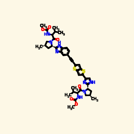 COC(=O)NC(C(=O)N1C[C@@H](C)C[C@H]1c1nc2cc(C#Cc3cc4sc(-c5c[nH]c([C@@H]6C[C@H](C)CN6C(=O)[C@@H](NC(=O)OC)C(C)C)n5)cc4s3)ccc2[nH]1)C(C)C